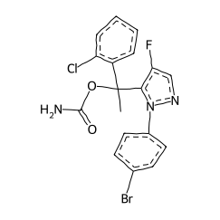 CC(OC(N)=O)(c1ccccc1Cl)c1c(F)cnn1-c1ccc(Br)cc1